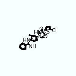 Cc1cc(N(C=O)NS(=O)(=O)c2ccc(Cl)s2)ccc1NC(=N)c1ccccc1